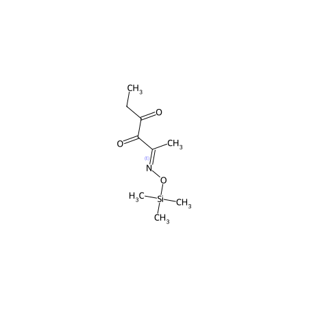 CCC(=O)C(=O)/C(C)=N/O[Si](C)(C)C